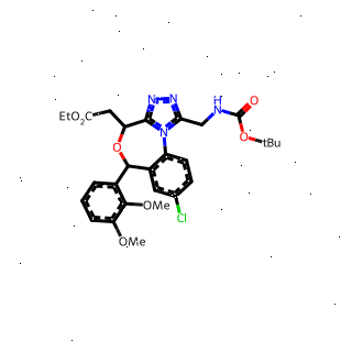 CCOC(=O)CC1OC(c2cccc(OC)c2OC)c2cc(Cl)ccc2-n2c(CNC(=O)OC(C)(C)C)nnc21